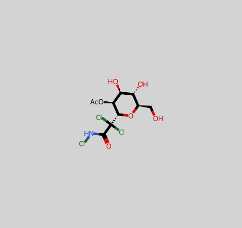 CC(=O)O[C@H]1[C@@H](O)[C@H](O)[C@@H](CO)O[C@@H]1C(Cl)(Cl)C(=O)NCl